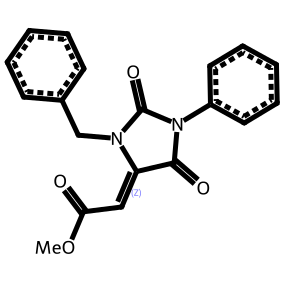 COC(=O)/C=C1/C(=O)N(c2ccccc2)C(=O)N1Cc1ccccc1